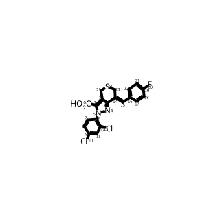 O=C(O)c1c2c(nn1-c1ccc(Cl)cc1Cl)C(=Cc1ccc(F)cc1)CSC2